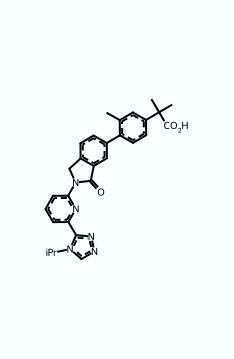 Cc1cc(C(C)(C)C(=O)O)ccc1-c1ccc2c(c1)C(=O)N(c1cccc(-c3nncn3C(C)C)n1)C2